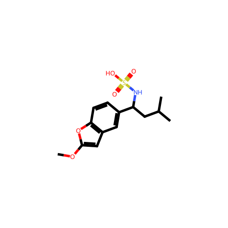 COc1cc2cc(C(CC(C)C)NS(=O)(=O)O)ccc2o1